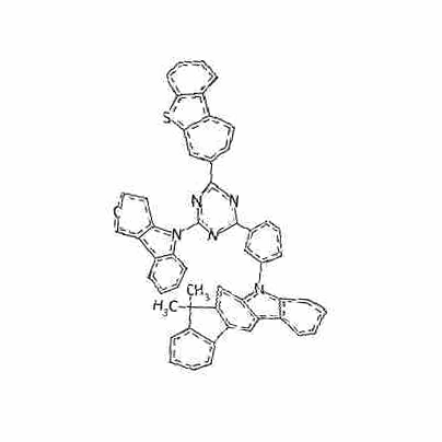 CC1(C)c2ccccc2-c2cc3c4ccccc4n(-c4cccc(-c5nc(-c6ccc7c(c6)sc6ccccc67)nc(-n6c7ccccc7c7ccccc76)n5)c4)c3cc21